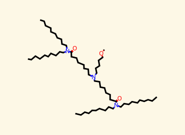 CCCCCCCCCCN(CCCCCCCCCC)C(=O)CCCCCCCN(CCCCCCCC(=O)N(CCCCCCCCCC)CCCCCCCCCC)CCCCCOC